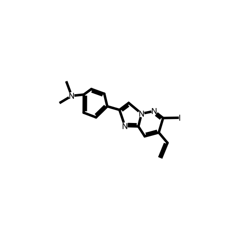 C=Cc1cc2nc(-c3ccc(N(C)C)cc3)cn2nc1I